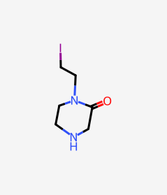 O=C1CNCCN1CCI